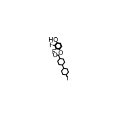 O=C(Oc1ccc(O)c(F)c1F)C1CCC(C2CCC(I)CC2)CC1